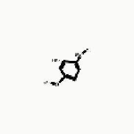 Br.CCCOc1cc[c]([Mg][CH2]C)cc1